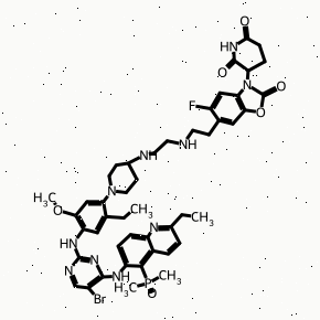 CCc1ccc2c(P(C)(C)=O)c(Nc3nc(Nc4cc(CC)c(N5CCC(NCCNCCc6cc7oc(=O)n(C8CCC(=O)NC8=O)c7cc6F)CC5)cc4OC)ncc3Br)ccc2n1